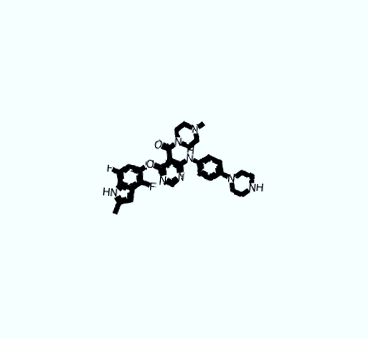 Cc1cc2c(F)c(Oc3ncnc(Nc4ccc(N5CCNCC5)cc4)c3C(=O)N3CCN(C)CC3)cc(F)c2[nH]1